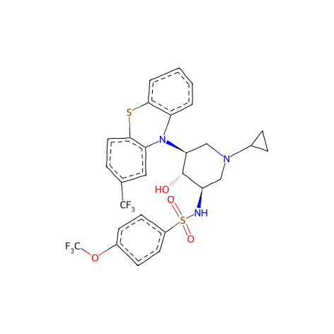 O=S(=O)(N[C@@H]1CN(C2CC2)C[C@H](N2c3ccccc3Sc3ccc(C(F)(F)F)cc32)[C@H]1O)c1ccc(OC(F)(F)F)cc1